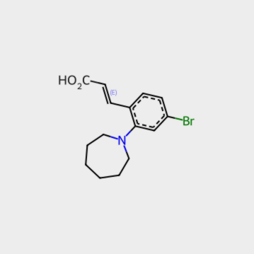 O=C(O)/C=C/c1ccc(Br)cc1N1CCCCCC1